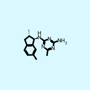 Cc1ccc2c(c1)[C@H](Nc1nc(C)nc(N)n1)[C@@H](C)C2